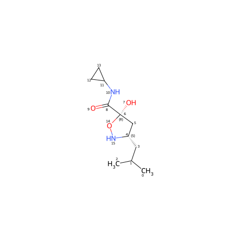 CC(C)C[C@H]1C[C@](O)(C(=O)NC2CC2)ON1